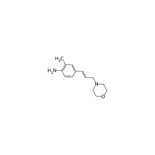 Cc1cc(/C=C/CN2CCOCC2)ccc1N